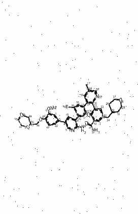 COc1cc(-c2cnc(N)c(-c3ccc(-c4cc(C)cnc4-c4cn(CC5CCOCC5)cc(C(N)=O)c4=O)cc3F)c2)ccc1OC[C@@H]1COCCO1